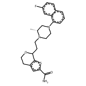 C[C@@H]1CN(c2cccc3ccc(F)cc23)CCN1CCC1OCCc2cc(C(N)=O)sc21